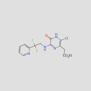 CCOC(=O)Cc1nc(NCC(F)(F)c2ccccn2)c(=O)[nH]c1Cl